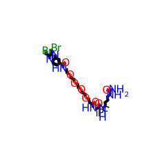 CC(C)[C@H](NC(=O)CCOCCOCCOCCOCCNC(=O)c1ccc2nc(CBr)c(CBr)nc2c1)C(=O)N[C@H](C)CCCNC(N)=O